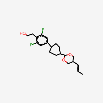 C/C=C/C1COC(C2CCC(c3cc(F)c(CCO)c(F)c3)CC2)OC1